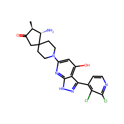 C[C@@H]1C(=O)CC2(CCN(c3cc(O)c4c(-c5ccnc(Cl)c5Cl)n[nH]c4n3)CC2)[C@H]1N